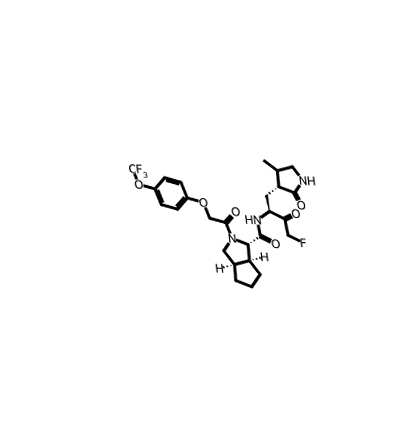 CC1CNC(=O)[C@@H]1C[C@H](NC(=O)[C@@H]1[C@H]2CCC[C@H]2CN1C(=O)COc1ccc(OC(F)(F)F)cc1)C(=O)CF